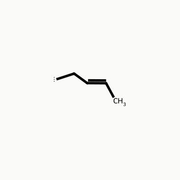 [C]CC=CC